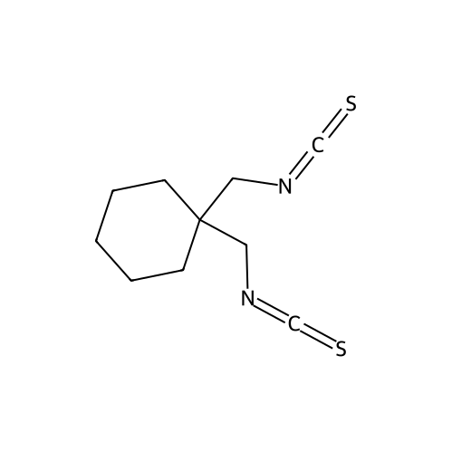 S=C=NCC1(CN=C=S)CCCCC1